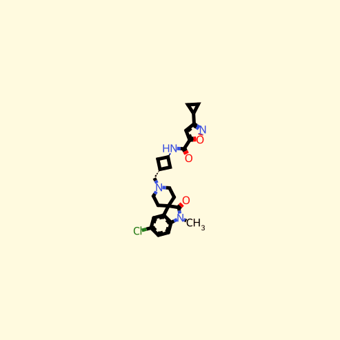 CN1C(=O)C2(CCN(C[C@H]3C[C@@H](NC(=O)c4cc(C5CC5)no4)C3)CC2)c2cc(Cl)ccc21